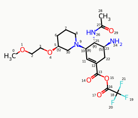 COCCO[C@H]1CCCN([C@@H]2C=C(C(=O)OC(=O)C(F)(F)F)C[C@H](N)[C@H]2NC(C)=O)C1